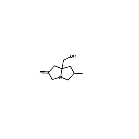 C=C1CN2CC(C)CC2(CO)C1